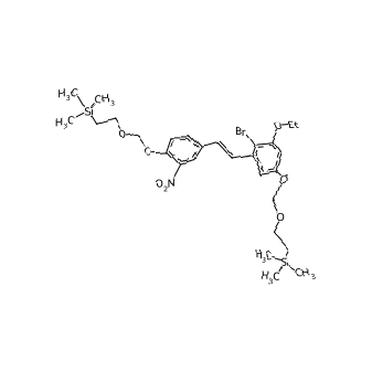 CCOc1cc(OCOCC[Si](C)(C)C)cc(/C=C/c2ccc(OCOCC[Si](C)(C)C)c([N+](=O)[O-])c2)c1Br